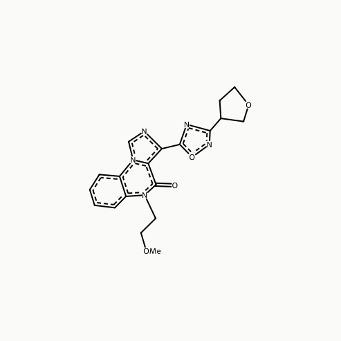 COCCn1c(=O)c2c(-c3nc(C4CCOC4)no3)ncn2c2ccccc21